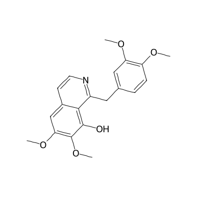 COc1ccc(Cc2nccc3cc(OC)c(OC)c(O)c23)cc1OC